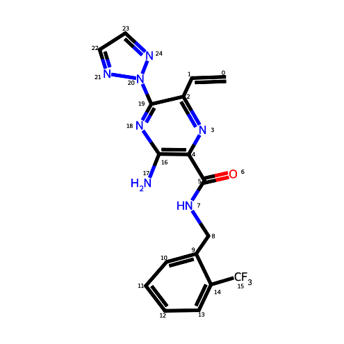 C=Cc1nc(C(=O)NCc2ccccc2C(F)(F)F)c(N)nc1-n1nccn1